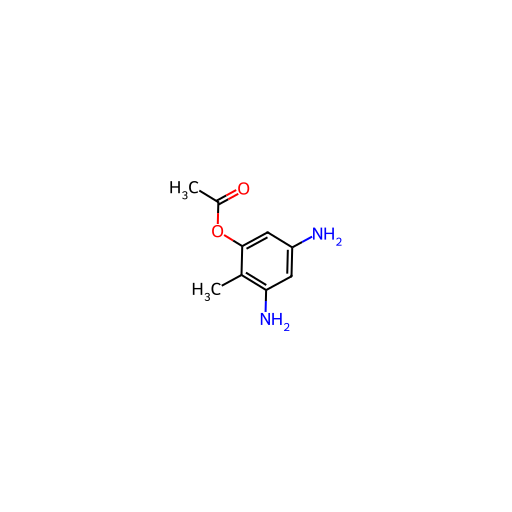 CC(=O)Oc1cc(N)cc(N)c1C